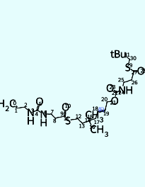 C=CCNC(=O)NCCC(=O)SCCC(C)(C)C/C=C/COC(=O)NCCC(=O)SCC(C)(C)C